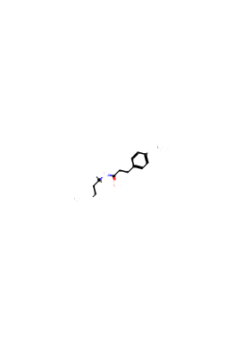 CCC(CCSC)(NC(=O)CCc1ccc(OC)cc1)C(=O)O